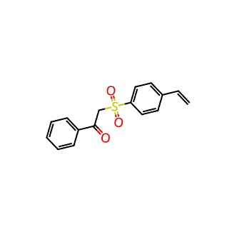 C=Cc1ccc(S(=O)(=O)CC(=O)c2ccccc2)cc1